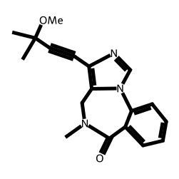 COC(C)(C)C#Cc1ncn2c1CN(C)C(=O)c1ccccc1-2